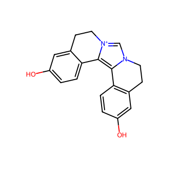 Oc1ccc2c(c1)CCn1c[n+]3c(c1-2)-c1ccc(O)cc1CC3